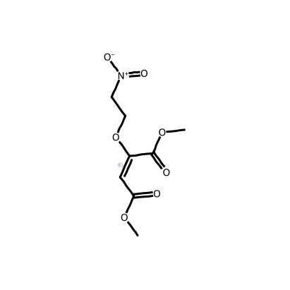 COC(=O)/C=C(/OCC[N+](=O)[O-])C(=O)OC